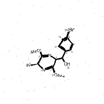 COC1=N[C@@H](C(C)C)C(OC)=NC1C(O)c1ccc(Br)cc1